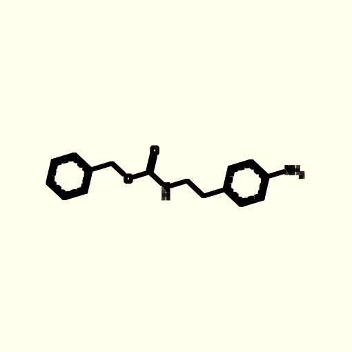 Nc1ccc(CCNC(=O)OCc2ccccc2)cc1